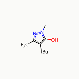 Cn1nc(C(F)(F)F)c(C(C)(C)C)c1O